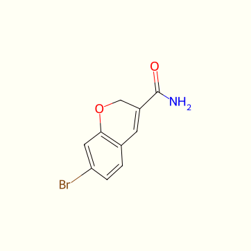 NC(=O)C1=Cc2ccc(Br)cc2OC1